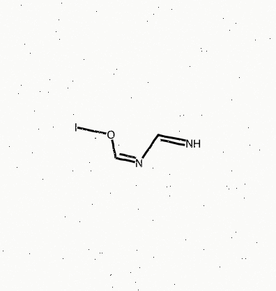 N=C/N=C\OI